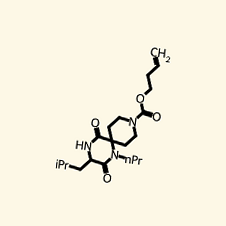 C=CCCOC(=O)N1CCC2(CC1)C(=O)NC(CC(C)C)C(=O)N2CCC